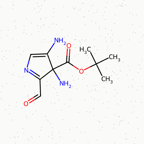 CC(C)(C)OC(=O)C1(N)C(N)=CN=C1C=O